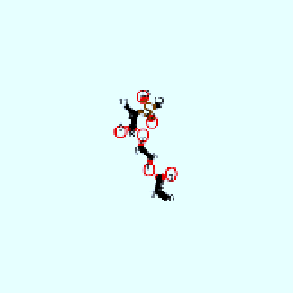 C=CC(=O)OCCOC(=O)C(C)S(C)(=O)=O